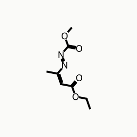 CCOC(=O)/C=C(C)\N=N\C(=O)OC